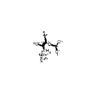 CC(=O)/C=C(/C)[O-].[O-]B([O-])[O-].[Zn+2].[Zn+2]